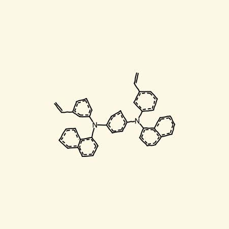 C=Cc1cccc(N(c2ccc(N(c3cccc(C=C)c3)c3cccc4ccccc34)cc2)c2cccc3ccccc23)c1